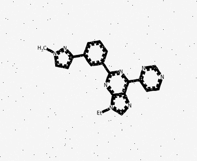 CCn1cnc2c(-c3ccncn3)nc(-c3cccc(-c4ccn(C)n4)c3)nc21